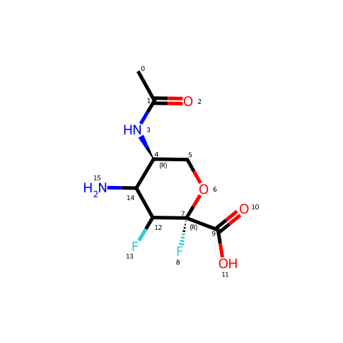 CC(=O)N[C@H]1CO[C@@](F)(C(=O)O)C(F)C1N